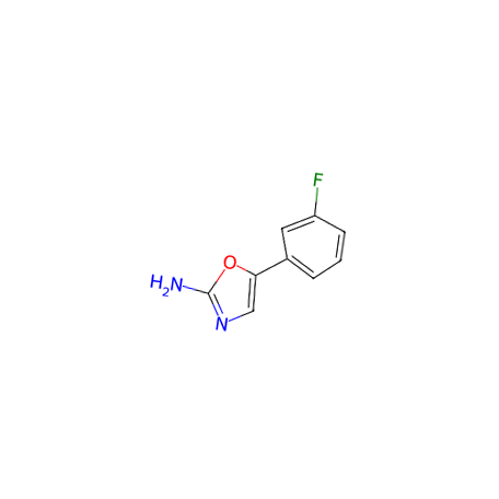 Nc1ncc(-c2cccc(F)c2)o1